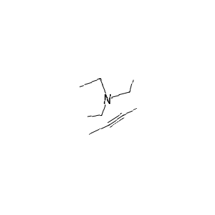 CC#CC.CCN(CC)CC